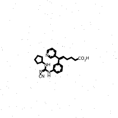 N#C/N=C(\Nc1cccc(/C(=C\CCCC(=O)O)c2cccnc2)c1)NC1CCCC1